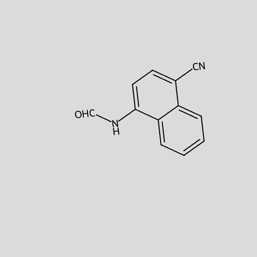 N#Cc1ccc(NC=O)c2ccccc12